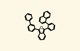 c1ccc(-c2cccc(-c3oc(-c4ccccc4-c4cccc5ccccc45)c4ccccc34)c2)cc1